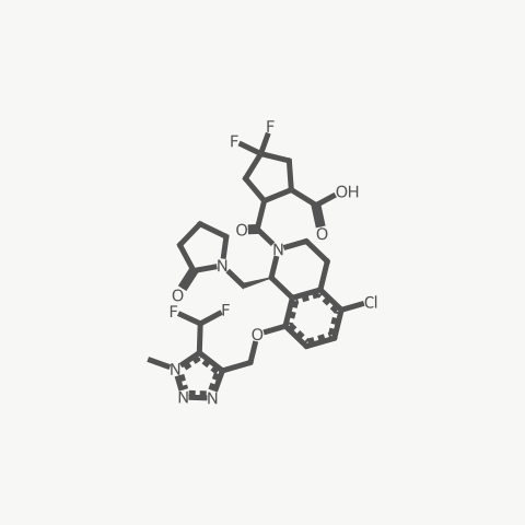 Cn1nnc(COc2ccc(Cl)c3c2[C@@H](CN2CCCC2=O)N(C(=O)C2CC(F)(F)CC2C(=O)O)CC3)c1C(F)F